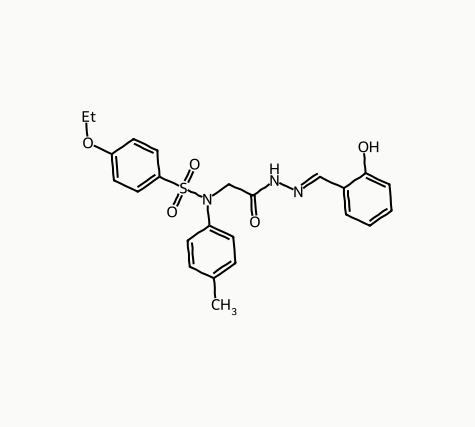 CCOc1ccc(S(=O)(=O)N(CC(=O)NN=Cc2ccccc2O)c2ccc(C)cc2)cc1